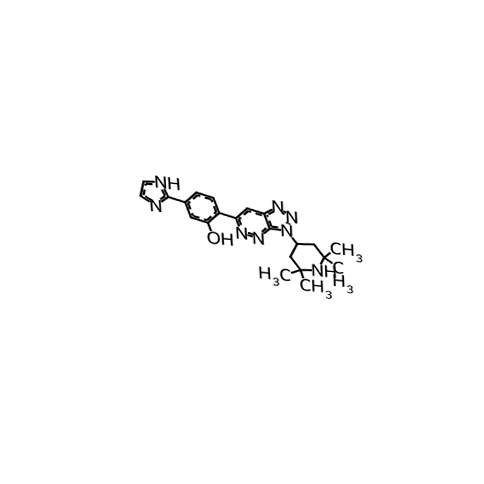 CC1(C)CC(n2nnc3cc(-c4ccc(-c5ncc[nH]5)cc4O)nnc32)CC(C)(C)N1